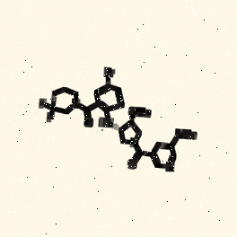 CNc1cncc(C(=O)N2C[C@H](Nc3ccc(Br)cc3C(=O)N3CCCC(F)(F)C3)[C@@H](OC)C2)c1